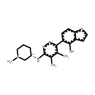 Cc1c(N[C@H]2CCCN(C)C2)nnc(-c2ccc3sccc3c2O)c1C